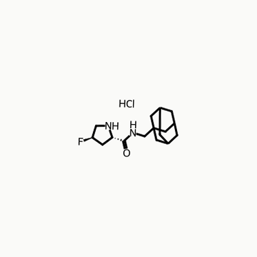 Cl.O=C(NCC12CC3CC(CC(C3)C1)C2)[C@@H]1C[C@@H](F)CN1